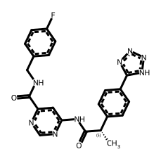 C[C@H](C(=O)Nc1cc(C(=O)NCc2ccc(F)cc2)ncn1)c1ccc(-c2nnn[nH]2)cc1